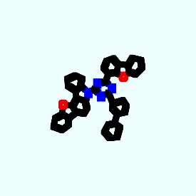 c1ccc(-c2cccc(-c3nc(-c4cccc5c4oc4ccccc45)nc(-n4c5ccccc5c5c6oc7ccccc7c6ccc54)n3)c2)cc1